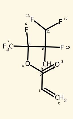 C=CC(=O)OC(F)(C(F)(F)F)C(C)(F)C(F)F